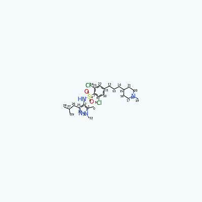 Cc1c(NS(=O)(=O)c2c(Cl)cc(CCCC3CCN(C)CC3)cc2Cl)c(CC(C)C)nn1C